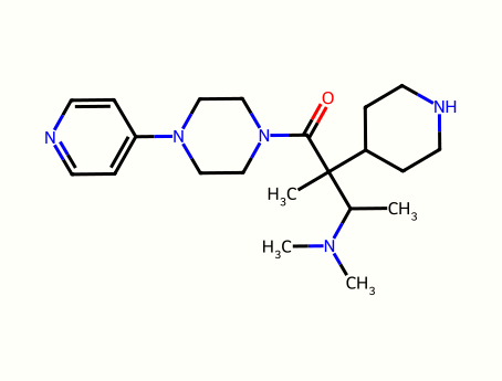 CC(N(C)C)C(C)(C(=O)N1CCN(c2ccncc2)CC1)C1CCNCC1